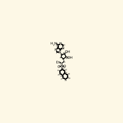 CCN(C[C@H]1C[C@@H](n2cnc3c(N)ncnc32)[C@@H](O)[C@H]1O)S(=O)(=O)c1ccc2ccccc2c1